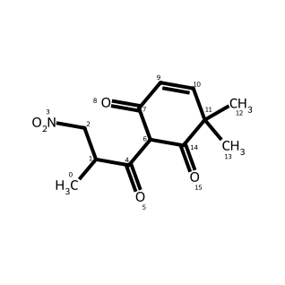 CC(C[N+](=O)[O-])C(=O)C1C(=O)C=CC(C)(C)C1=O